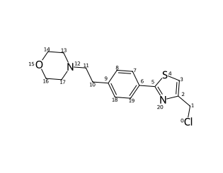 ClCc1csc(-c2ccc(CCN3CCOCC3)cc2)n1